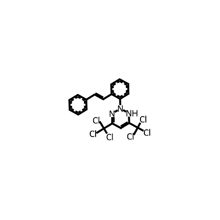 ClC(Cl)(Cl)C1=CC(C(Cl)(Cl)Cl)=NN(c2ccccc2C=Cc2ccccc2)N1